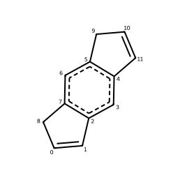 C1=Cc2cc3c(cc2C1)CC=C3